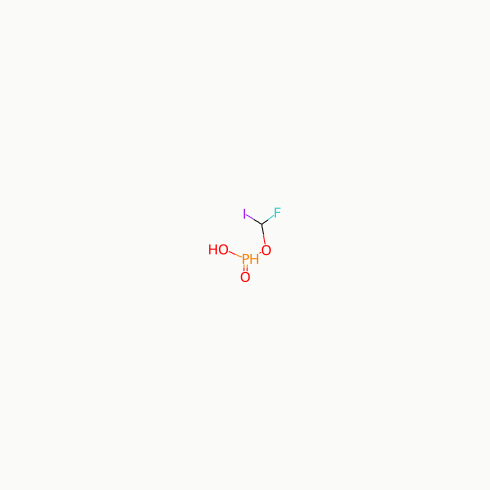 O=[PH](O)OC(F)I